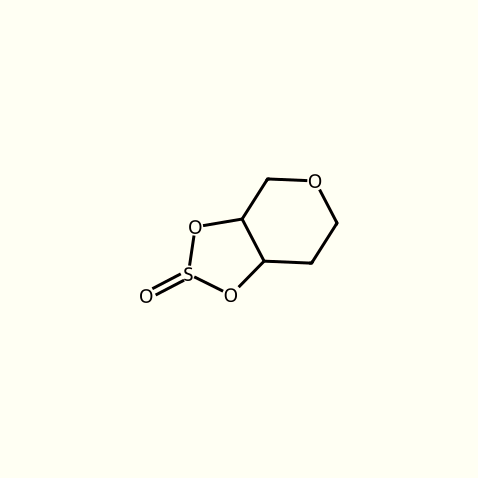 O=S1OC2CCOCC2O1